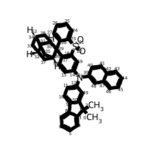 CC1(C)c2ccccc2-c2ccc(N(c3ccc4c(c3)S(=O)(=O)c3ccccc3C43[C@H]4C[C@H]5C[C@H](C[C@H]3C5)C4)c3ccc4ccccc4c3)cc21